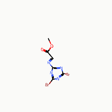 COC(=O)/C=N/c1nc(Br)nc(Br)n1